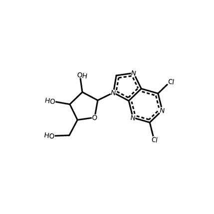 OCC1OC(n2cnc3c(Cl)nc(Cl)nc32)C(O)C1O